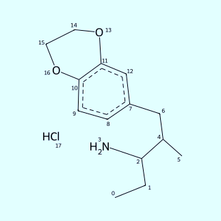 CCC(N)C(C)Cc1ccc2c(c1)OCCO2.Cl